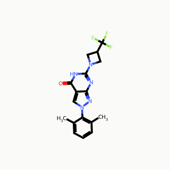 Cc1cccc(C)c1-n1cc2c(=O)[nH]c(N3CC(C(F)(F)F)C3)nc2n1